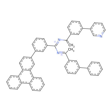 C=C(/N=C(\N=C(/C)c1cccc(-c2ccccc2)c1)c1cccc(-c2ccc3c4ccccc4c4ccccc4c3c2)c1)c1cccc(-c2cccnc2)c1